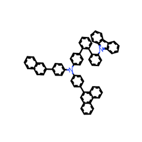 c1ccc(-c2ccccc2-n2c3ccccc3c3ccccc32)c(-c2ccc(N(c3ccc(-c4ccc5ccccc5c4)cc3)c3ccc(-c4cc5ccccc5c5ccccc45)cc3)cc2)c1